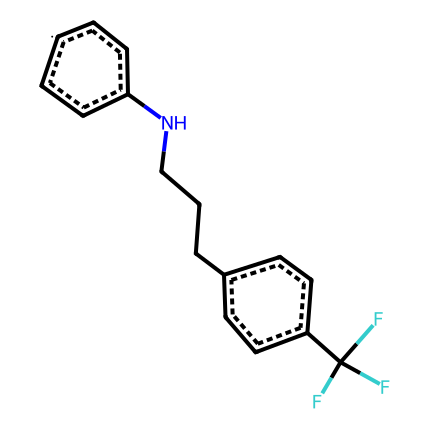 FC(F)(F)c1ccc(CCCNc2cc[c]cc2)cc1